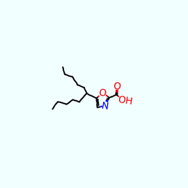 CCCCCC(CCCCC)c1cnc(C(=O)O)o1